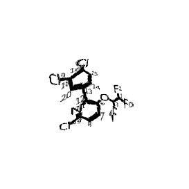 FC(F)C(F)Oc1ccc(Cl)nc1-c1ccc(Cl)c(Cl)c1